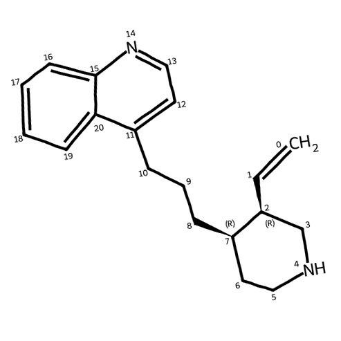 C=C[C@H]1CNCC[C@H]1CCCc1ccnc2ccccc12